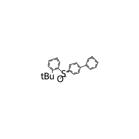 CC(C)(C)c1ccccc1[S+]([O-])c1ccc(-c2ccccc2)cc1